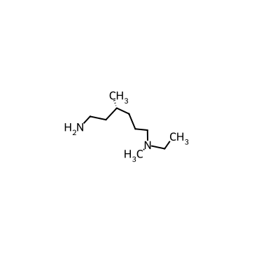 CCN(C)CCC[C@@H](C)CCN